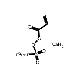 C=CC(=O)OOS(=O)(=O)CCCCC.[CaH2]